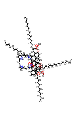 CCCCCCCCCCCCCCCC(Cc1ccccc1C1=CC2=CC3=NC(=CC4=NC(=CC5=NC(=C(c6ccccc6CC(CCCCCCCCCCCCCCC)C(=O)OC)C1=N2)C(c1ccccc1CC(CCCCCCCCCCCCCCC)C(=O)OC)=C5c1ccccc1CC(CCCCCCCCCCCCCCC)C(=O)OC)C=C4)C=C3)C(=O)OC